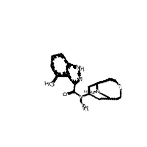 CCCCN1C2COCC1CC(N(C(=O)c1n[nH]c3cccc(O)c13)C(C)C)C2